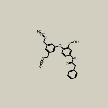 [N-]=[N+]=NCc1cc(CN=[N+]=[N-])cc(Oc2ccc(NC(=O)Cc3ccccc3)cc2SO)c1